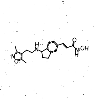 Cc1noc(C)c1CCNC1CCc2cc(C=CC(=O)NO)ccc21